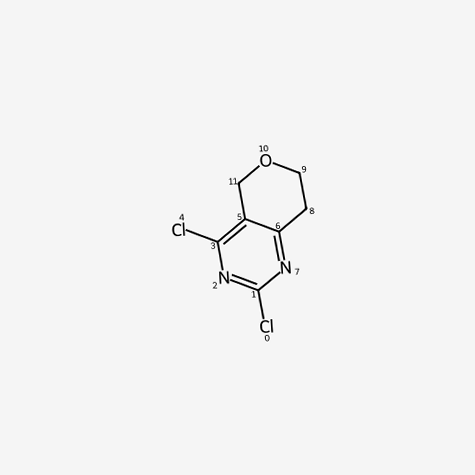 Clc1nc(Cl)c2c(n1)CCOC2